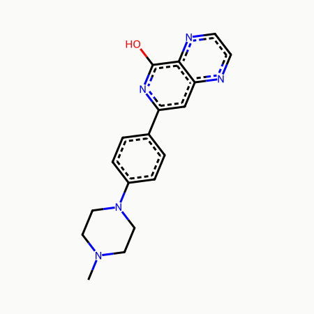 CN1CCN(c2ccc(-c3cc4nccnc4c(O)n3)cc2)CC1